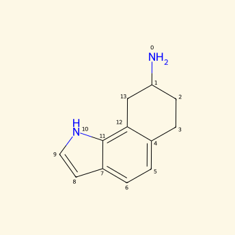 NC1CCc2ccc3cc[nH]c3c2C1